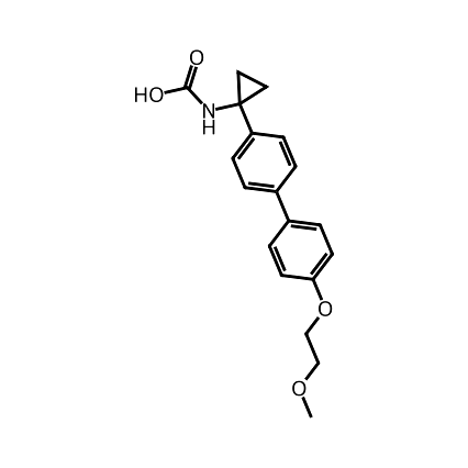 COCCOc1ccc(-c2ccc(C3(NC(=O)O)CC3)cc2)cc1